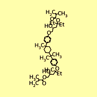 C=C(C)C(=O)OCC(O)CC(C)(CC)Oc1ccc(C(C)(C)C2CCC(C)(c3ccc(OCC(O)CC(CC)(CC)OC(=O)C(=C)C)cc3)CC2)cc1